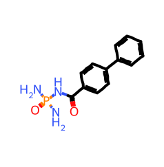 NP(N)(=O)NC(=O)c1ccc(-c2ccccc2)cc1